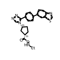 CCNOC(=O)[C@H]1CC[C@@H](n2cnnc2-c2ccc(-c3ccc4ncsc4c3)cc2)C1